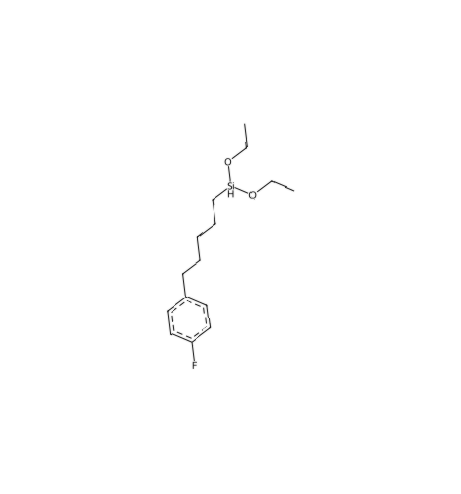 CCO[SiH](CCCCCc1ccc(F)cc1)OCC